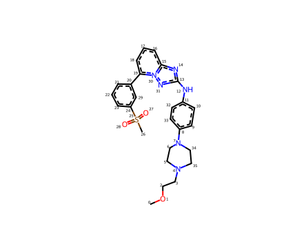 COCCN1CCN(c2ccc(Nc3nc4cccc(-c5cccc(S(C)(=O)=O)c5)n4n3)cc2)CC1